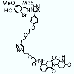 COc1cc(/C=N/n2c(SC)nnc2-c2ccc(OCCOCCc3cn(CCOCC(=O)Nc4cccc5c4CC(=O)N(C4CCC(=O)NC4=O)C5=O)nn3)cc2)c(Br)cc1O